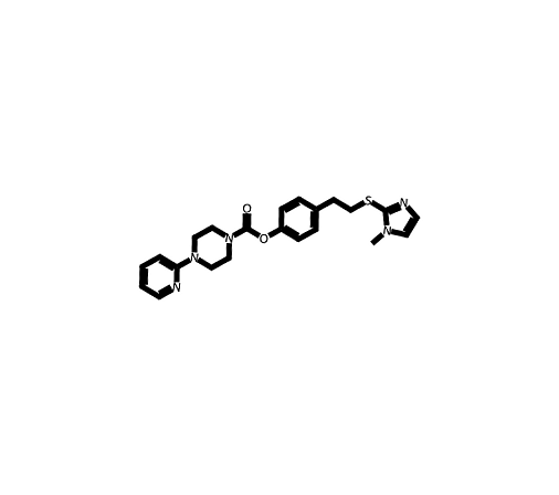 Cn1ccnc1SCCc1ccc(OC(=O)N2CCN(c3ccccn3)CC2)cc1